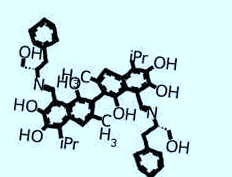 Cc1cc2c(C(C)C)c(O)c(O)c(/C=N/[C@H](CO)Cc3ccccc3)c2c(O)c1-c1c(C)cc2c(C(C)C)c(O)c(O)c(/C=N/[C@H](CO)Cc3ccccc3)c2c1O